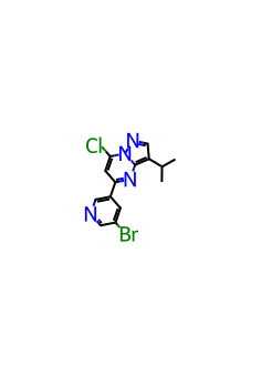 CC(C)c1cnn2c(Cl)cc(-c3cncc(Br)c3)nc12